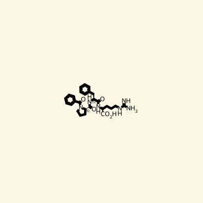 N=C(N)NCCC[C@H](NC(=O)[C@H](Cc1ccccc1)NC(=O)[C@@H]1CCCN1C(=O)c1ccccc1)C(=O)O